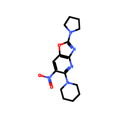 O=[N+]([O-])c1cc2oc(N3CCCC3)nc2nc1N1CCCCC1